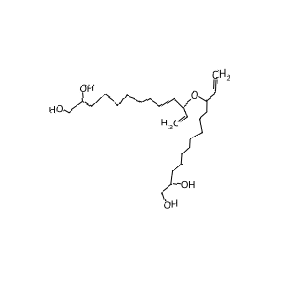 C=CC(CCCCCCCCC(O)CO)OC(C=C)CCCCCCCCC(O)CO